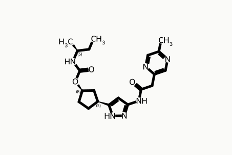 CC[C@H](C)NC(=O)O[C@@H]1CC[C@H](c2cc(NC(=O)Cc3cnc(C)cn3)n[nH]2)C1